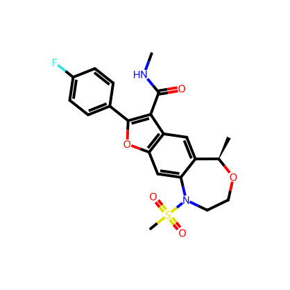 CNC(=O)c1c(-c2ccc(F)cc2)oc2cc3c(cc12)[C@@H](C)OCCN3S(C)(=O)=O